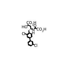 O=C(O)C(=O)N[C@H](Cc1ccc(-c2cccc(Cl)c2)cc1Cl)C[C@@H](O)C(=O)O